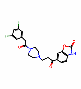 O=C(CCN1CCN(C(=O)Cc2cc(F)cc(F)c2)CC1)c1ccc2[nH]c(=O)oc2c1